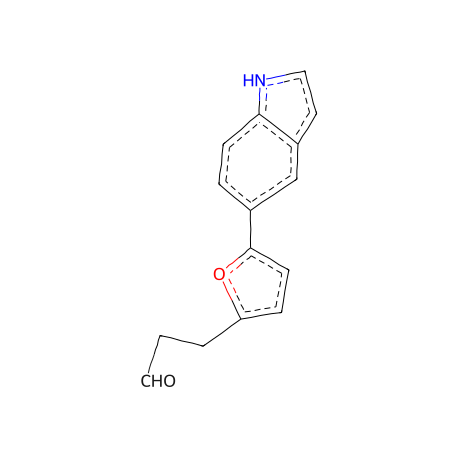 O=CCCc1ccc(-c2ccc3[nH]ccc3c2)o1